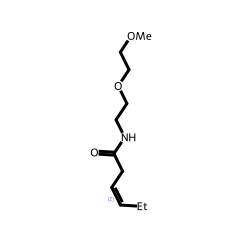 CC/C=C\CC(=O)NCCOCCOC